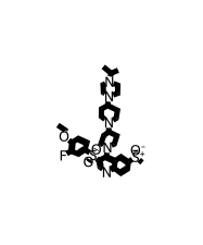 CCOc1ccc(S(=O)(=O)c2cnc3ccc([S+](C)[O-])cc3c2N2CCC(N3CCC(N4CCN(C(C)C)CC4)CC3)CC2)cc1F